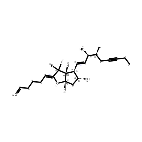 CCC#CC[C@H](C)[C@H](O)/C=C/[C@@H]1[C@@H]2[C@H](C[C@H]1O)O/C(=C\CCCC=O)C2(F)F